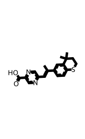 CC(=Cc1cnc(C(=O)O)cn1)c1ccc2c(c1)C(C)(C)CCS2